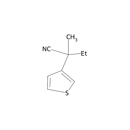 CCC(C)(C#N)c1ccsc1